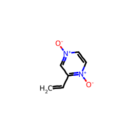 C=Cc1c[n+]([O-])cc[n+]1[O-]